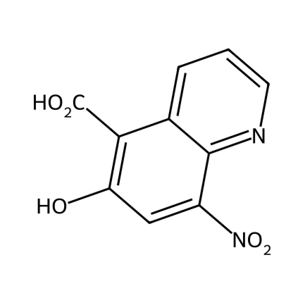 O=C(O)c1c(O)cc([N+](=O)[O-])c2ncccc12